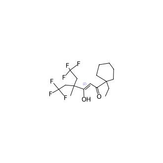 CCC1(C(=O)/C=C(\O)C(C)(CC(F)(F)F)CC(F)(F)F)CCCCC1